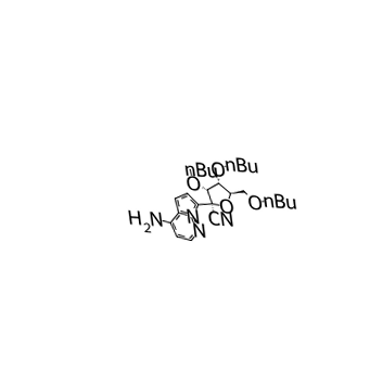 CCCCOC[C@H]1O[C@@](C#N)(c2ccc3c(N)ccnn23)[C@H](OCCCC)[C@@H]1OCCCC